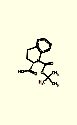 CC(C)(C)OC(=O)N1c2ccccc2CC[C@H]1C(=O)O